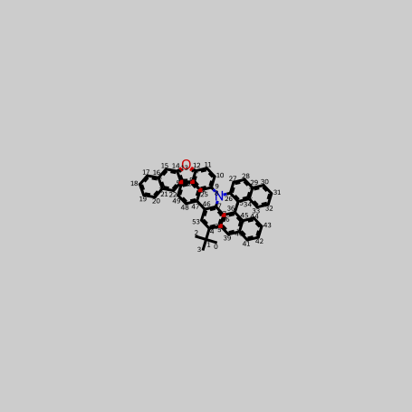 CC(C)(C)c1ccc(N(c2ccc3oc4cc5ccccc5cc4c3c2)c2ccc3ccccc3c2-c2cccc3ccccc23)c(-c2ccccc2)c1